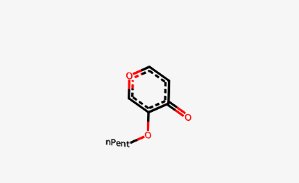 CCCCCOc1coccc1=O